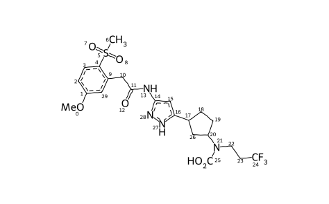 COc1ccc(S(C)(=O)=O)c(CC(=O)Nc2cc(C3CCC(N(CCC(F)(F)F)C(=O)O)C3)[nH]n2)c1